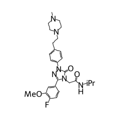 COc1cc(-c2nn(-c3ccc(CCN4CCN(C)CC4)cc3)c(=O)n2CC(=O)NC(C)C)ccc1F